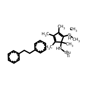 CC1=C(C)C(C)(NC(C)(C)C)C([SiH](C)C)=C1C.[Ti].c1ccc(CCc2ccccc2)cc1